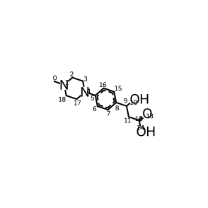 CN1CCN(c2ccc(C(O)CC(=O)O)cc2)CC1